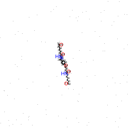 CC(=O)CCCCCNC(=O)CCCOc1ccc(/C(C)=N/NC(=O)CCCCCC(C)=O)cc1